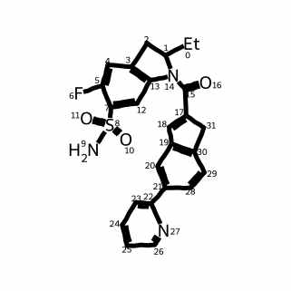 CCC1Cc2cc(F)c(S(N)(=O)=O)cc2N1C(=O)C1=Cc2cc(-c3ccccn3)ccc2C1